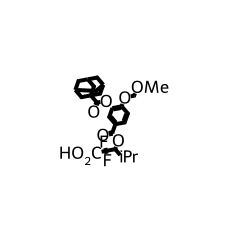 COCOc1ccc(C(=O)OC(C(C)C)C(F)(F)C(=O)O)cc1OC(=O)C12CC3CC(CC(C3)C1)C2